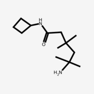 CC(C)(N)CC(C)(C)CC(=O)NC1CCC1